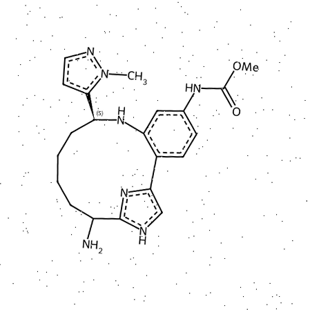 COC(=O)Nc1ccc2c(c1)N[C@H](c1ccnn1C)CCCCC(N)c1nc-2c[nH]1